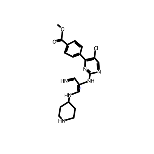 COC(=O)c1ccc(-c2nc(N/C(C=N)=C/NC3CCNCC3)ncc2Cl)cc1